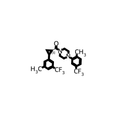 Cc1cc(C2C[C@@H]2C(=O)N2CCN(c3cc(C(F)(F)F)ccc3C)CC2)cc(C(F)(F)F)c1